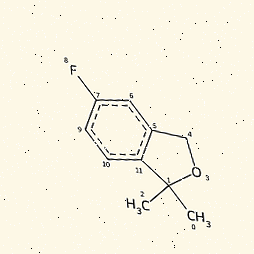 CC1(C)OCc2cc(F)ccc21